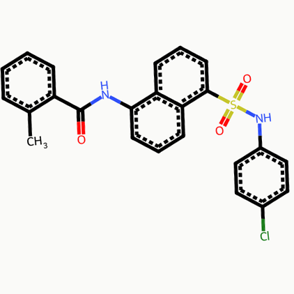 Cc1ccccc1C(=O)Nc1cccc2c(S(=O)(=O)Nc3ccc(Cl)cc3)cccc12